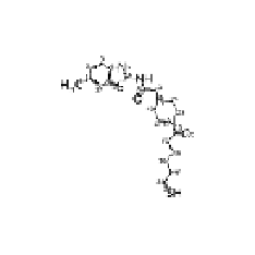 Cc1ccc2nc(NC(=O)CN3CCN(C(=O)CCCCCS)CC3)sc2c1